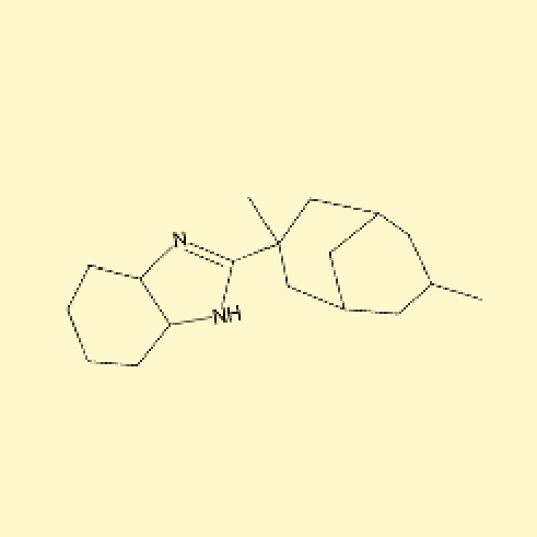 CC1CC2CC(C1)CC(C)(C1=NC3CCCCC3N1)C2